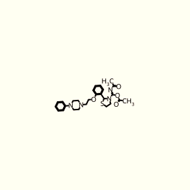 CC(=O)/N=C(\OC(C)=O)N1CCSC1c1ccccc1OCCN1CCN(c2ccccc2)CC1